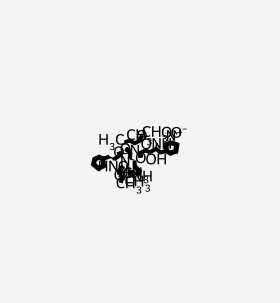 CC[C@H](C)[C@@H](C(=O)OC)N(C(=O)CC(O)[C@@H](N)Cc1cccc([N+](=O)[O-])c1)C(=O)[C@H](Cc1c[nH]cn1)NC(=O)[C@H](Cc1ccccc1)NC(=O)OC(C)(C)C